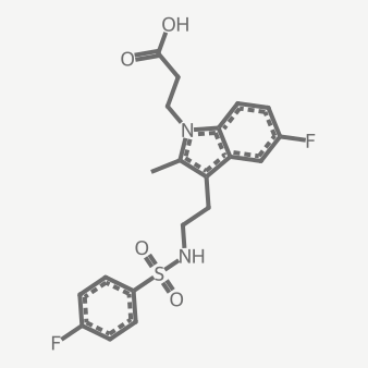 Cc1c(CCNS(=O)(=O)c2ccc(F)cc2)c2cc(F)ccc2n1CCC(=O)O